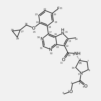 COCC(=O)N1CC[C@@H](NC(=O)c2c(C)[nH]c3c(-c4cc(F)ccc4OCC4CC4)ncnc23)C1